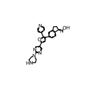 O/N=C1\CCc2cc(-c3cc(-c4cnc(N5CCNCC5)nc4)oc3-c3ccncc3)ccc21